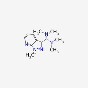 [CH2-][N+]1=NC(C(N(C)C)=[N+](C)C)c2cccnc21